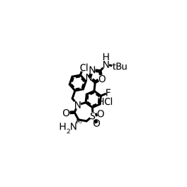 CC(C)(C)Nc1nnc(-c2cc3c(cc2F)S(=O)(=O)C[C@H](N)C(=O)N3Cc2ccc(Cl)cc2)o1.Cl